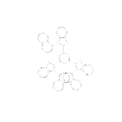 c1ccc2c(-n3c(-c4cc(-c5nc6ccccc6n5-c5cccc6ccccc56)cc(-c5nc6ccccc6n5-c5cccc6ccccc56)c4)nc4ccccc43)cccc2c1